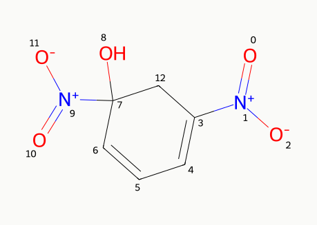 O=[N+]([O-])C1=CC=CC(O)([N+](=O)[O-])C1